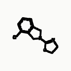 Clc1cccc2c1CN(C1=NCCO1)C2